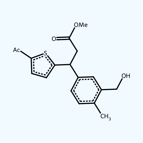 COC(=O)CC(c1ccc(C)c(CO)c1)c1ccc(C(C)=O)s1